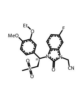 CCOc1cc([C@H](CS(C)(=O)=O)n2c(=O)n(CC#N)c3cc(F)ccc32)ccc1OC